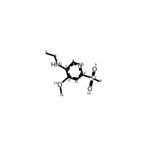 CCNc1cnc(S(C)(=O)=O)cc1OC